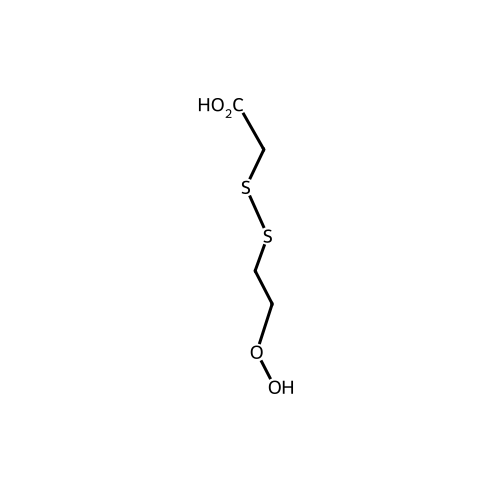 O=C(O)CSSCCOO